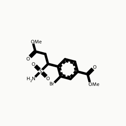 COC(=O)CC(c1ccc(C(=O)OC)cc1Br)S(N)(=O)=O